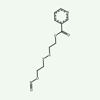 O=NOCCSSCCOC(=O)c1cccnc1